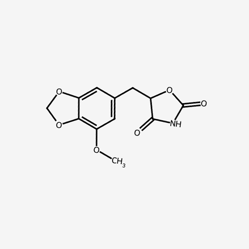 COc1cc(CC2OC(=O)NC2=O)cc2c1OCO2